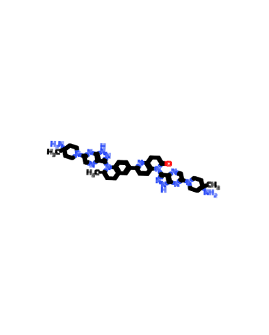 C[C@@H]1CCc2cc(-c3ccc4c(n3)CCC(=O)N4c3n[nH]c4nc(N5CCC(C)(N)CC5)cnc34)ccc2N1c1n[nH]c2nc(N3CCC(C)(N)CC3)cnc12